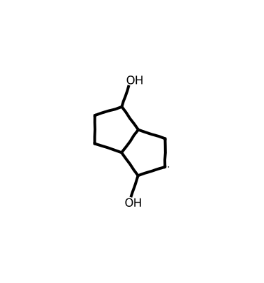 OC1[CH]CC2C(O)CCC12